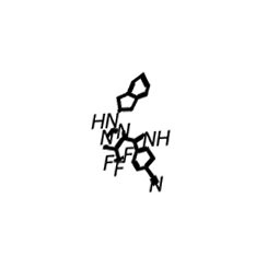 N#Cc1ccc2c(-c3nc(NC4Cc5ccccc5C4)ncc3C(F)(F)F)c[nH]c2c1